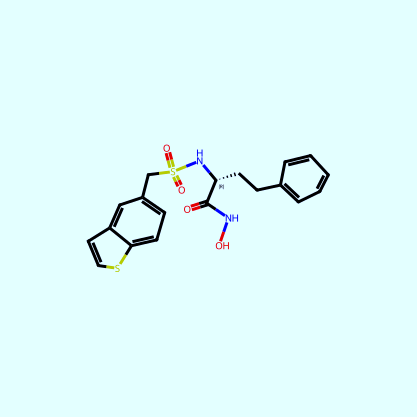 O=C(NO)[C@@H](CCc1ccccc1)NS(=O)(=O)Cc1ccc2sccc2c1